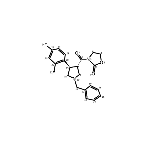 O=C1OCCN1C(=O)[C@@H]1CN(Cc2ccccc2)C[C@H]1c1ccc(F)cc1F